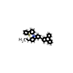 C=CCc1ccc2c3cc(-c4ccc5c6ccccc6c6ccccc6c5c4)ccc3n(-c3cccc4c3sc3ccccc34)c2c1